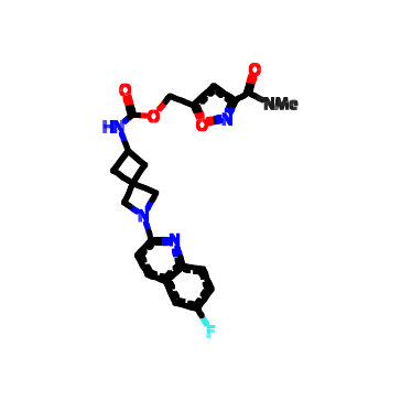 CNC(=O)c1cc(COC(=O)NC2CC3(C2)CN(c2ccc4cc(F)ccc4n2)C3)on1